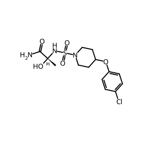 C[C@](O)(NS(=O)(=O)N1CCC(Oc2ccc(Cl)cc2)CC1)C(N)=O